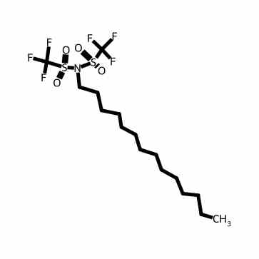 CCCCCCCCCCCCCCN(S(=O)(=O)C(F)(F)F)S(=O)(=O)C(F)(F)F